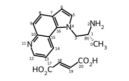 C[C@@H](N)Cn1ccc2ccc3ncccc3c21.O=C(O)C=CC(=O)O